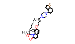 CCCCCCC(C)(C)C(=O)n1c(=O)ccc2ccc(OCCCCN3CCN(c4cccc5sccc45)CC3)cc21